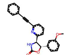 COc1cccc([C@@H]2OC(=O)N[C@H]2c2cccc(C#Cc3ccccc3)n2)c1